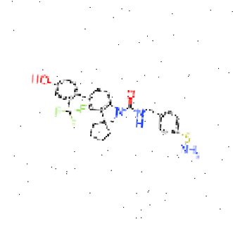 NSc1ccc(CNC(=O)N2CC3(CCCC3)c3cc(-c4ccc(O)cc4C(F)(F)F)ccc32)cc1